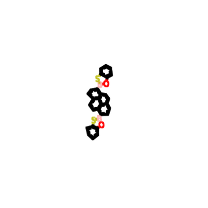 c1ccc2c(c1)OB(c1ccc3ccc4c(B5Oc6ccccc6S5)ccc5ccc1c3c54)S2